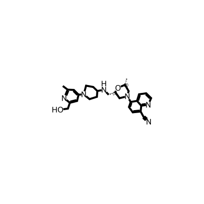 Cc1cc(N2CCC(NC[C@H]3CN(c4ccc(C#N)c5ncccc45)C[C@@H](C)O3)CC2)cc(CO)n1